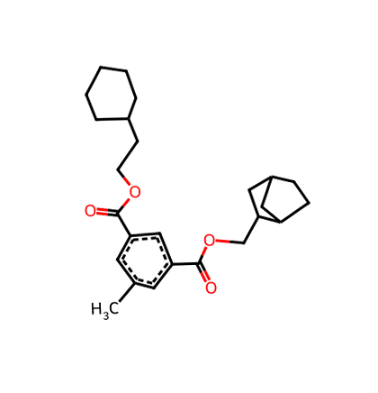 Cc1cc(C(=O)OCCC2CCCCC2)cc(C(=O)OCC2CC3CCC2C3)c1